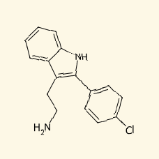 NCCc1c(-c2ccc(Cl)cc2)[nH]c2ccccc12